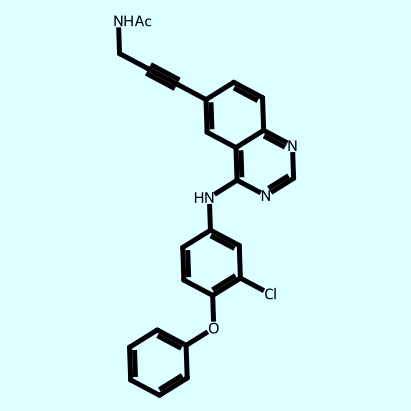 CC(=O)NCC#Cc1ccc2ncnc(Nc3ccc(Oc4ccccc4)c(Cl)c3)c2c1